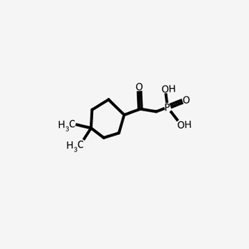 CC1(C)CCC(C(=O)CP(=O)(O)O)CC1